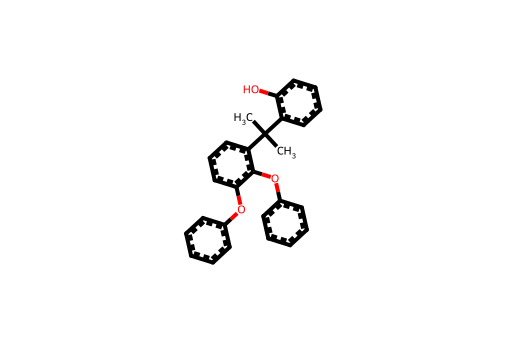 CC(C)(c1ccccc1O)c1cccc(Oc2ccccc2)c1Oc1ccccc1